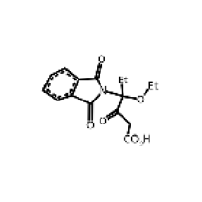 CCOC(CC)(C(=O)CC(=O)O)N1C(=O)c2ccccc2C1=O